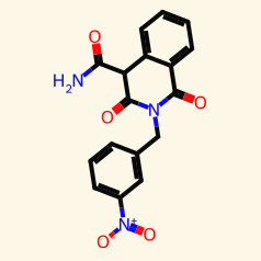 NC(=O)C1C(=O)N(Cc2cccc([N+](=O)[O-])c2)C(=O)c2ccccc21